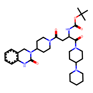 CC(C)(C)OC(=O)NC(CC(=O)N1CCC(N2Cc3ccccc3NC2=O)CC1)C(=O)N1CCC(N2CCCCC2)CC1